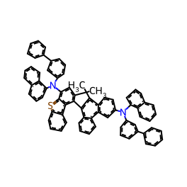 CC1(C)c2cc(N(c3cccc(-c4ccccc4)c3)c3cccc4ccccc34)c3sc4ccccc4c3c2-c2c1c1ccc(N(c3cccc(-c4ccccc4)c3)c3cccc4ccccc34)cc1c1ccccc21